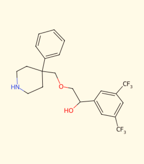 OC(COCC1(c2ccccc2)CCNCC1)c1cc(C(F)(F)F)cc(C(F)(F)F)c1